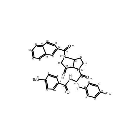 CC(C)(C)c1ccc(C(=O)N[C@@H](Cc2ccc(F)cc2)C(=O)N2CCC3C2C(=O)CN3C(=O)c2ccc3ccccc3c2)cc1